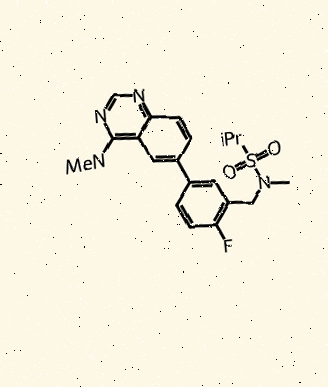 CNc1ncnc2ccc(-c3ccc(F)c(CN(C)S(=O)(=O)C(C)C)c3)cc12